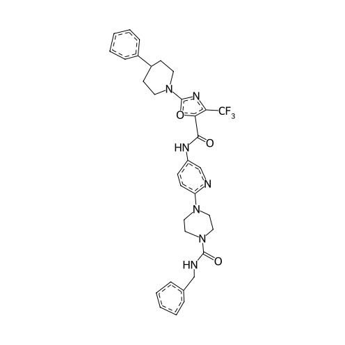 O=C(Nc1ccc(N2CCN(C(=O)NCc3ccccc3)CC2)nc1)c1oc(N2CCC(c3ccccc3)CC2)nc1C(F)(F)F